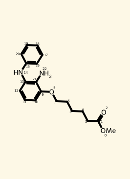 COC(=O)CCCCCOc1cccc(Nc2ccccc2)c1N